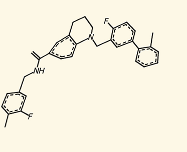 C=C(NCc1ccc(C)c(F)c1)c1ccc2c(c1)CCCN2Cc1cc(-c2ccccc2C)ccc1F